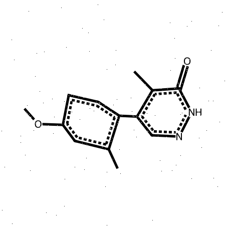 COc1ccc(-c2cn[nH]c(=O)c2C)c(C)c1